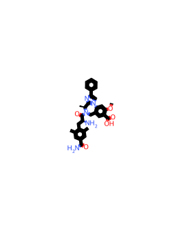 COc1cc2c(cc1C(=O)O)CN(C(=O)[C@@H](N)Cc1c(C)cc(C(N)=O)cc1C)[C@@H](C)c1nc(-c3ccccc3)cn1-2